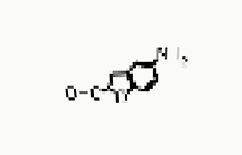 Nc1ccc2c(c1)CC(C=O)O2